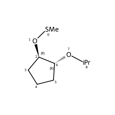 CSO[C@@H]1CCC[C@H]1OC(C)C